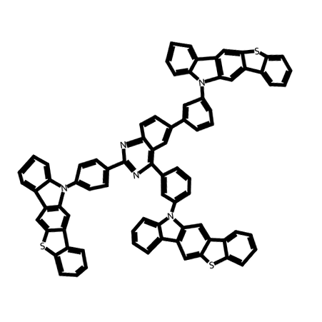 c1cc(-c2ccc3nc(-c4ccc(-n5c6ccccc6c6cc7sc8ccccc8c7cc65)cc4)nc(-c4cccc(-n5c6ccccc6c6cc7sc8ccccc8c7cc65)c4)c3c2)cc(-n2c3ccccc3c3cc4sc5ccccc5c4cc32)c1